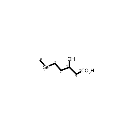 C[Se]CCC(O)CC(=O)O